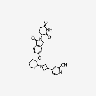 N#Cc1cc(C2CN(C3CCCC[C@@H]3Oc3ccc4c(c3)CN(C3CCC(=O)NC3=O)C4=O)C2)ccn1